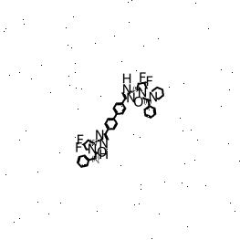 C[C@@H](C(=O)N1CC(F)(F)C[C@H]1c1nc(-c2ccc(-c3ccc(-c4c[nH]c([C@@H]5CC(F)(F)CN5C(=O)[C@@H](c5ccccc5)N5CCCCC5)n4)cc3)cc2)c[nH]1)c1ccccc1